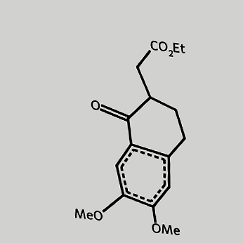 CCOC(=O)CC1CCc2cc(OC)c(OC)cc2C1=O